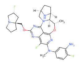 C[C@@H]1Oc2nc(N(C)c3ccc(F)c(N)c3)c(F)c3nc(OC[C@@]45CCCN4C[C@H](F)C5)nc(c23)N2C[C@H]3CC[C@H](N3)[C@@H]12